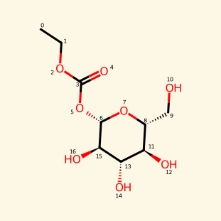 CCOC(=O)O[C@@H]1O[C@H](CO)[C@@H](O)[C@H](O)[C@H]1O